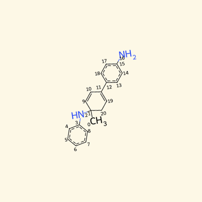 CC1(Nc2ccccc2)C=CC(c2ccc(N)cc2)=CC1